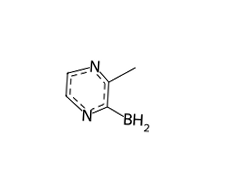 Bc1nccnc1C